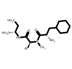 CC(C)[C@@H](C(=O)N[C@@H](CC(=O)O)C(=O)O)N(C)C(=O)[C@@H](N)CC1CCCCC1